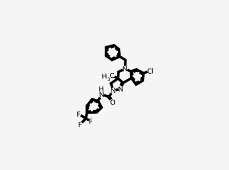 CC12CN(C(=O)Nc3ccc(C(F)(F)F)cc3)N=C1c1ccc(Cl)cc1N(Cc1ccccc1)C2